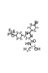 C[C@@H](CO)NC(=O)c1cc(-c2ccc(OC(F)(F)F)cc2)nc(-c2ccc(Br)cc2)n1